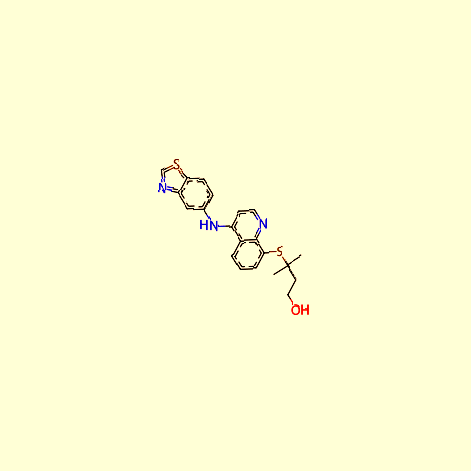 CC(C)(CCO)Sc1cccc2c(Nc3ccc4scnc4c3)ccnc12